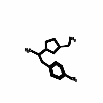 Cc1ccc(CC(C)N2CC[C@H](CN)C2)cc1